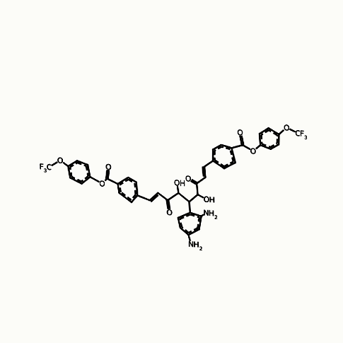 Nc1ccc(C(C(O)C(=O)/C=C/c2ccc(C(=O)Oc3ccc(OC(F)(F)F)cc3)cc2)C(O)C(=O)/C=C/c2ccc(C(=O)Oc3ccc(OC(F)(F)F)cc3)cc2)c(N)c1